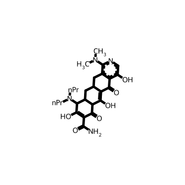 CCCN(CCC)C1C(O)=C(C(N)=O)C(=O)C2C(O)=C3C(=O)c4c(O)cnc(N(C)C)c4CC3CC21